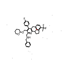 Fc1ccc(-c2c(COC3CCCCO3)c(CNCc3ccccc3)nc(C3CCCC3)c2Cc2ccc(C(F)(F)F)cc2)cc1